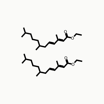 CCOC(=O)/C=C(C)/C=C/CC(C)CCCC(C)C.CCOC(=O)/C=C(C)/C=C/CC(C)CCCC(C)C